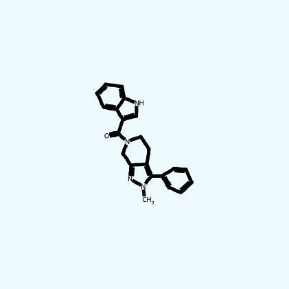 Cn1nc2c(c1-c1ccccc1)CCN(C(=O)c1c[nH]c3ccccc13)C2